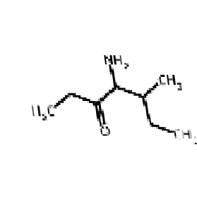 CCC(=O)C(N)C(C)CC